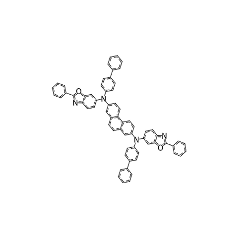 c1ccc(-c2ccc(N(c3ccc4c(ccc5cc(N(c6ccc(-c7ccccc7)cc6)c6ccc7nc(-c8ccccc8)oc7c6)ccc54)c3)c3ccc4nc(-c5ccccc5)oc4c3)cc2)cc1